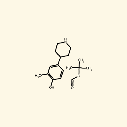 CC(C)(C)OC=O.Cc1cc(C2CCNCC2)ccc1O